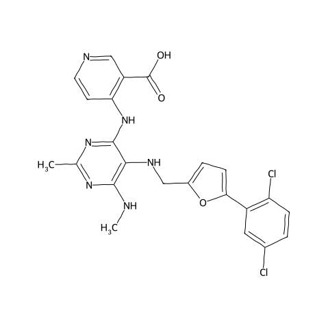 CNc1nc(C)nc(Nc2ccncc2C(=O)O)c1NCc1ccc(-c2cc(Cl)ccc2Cl)o1